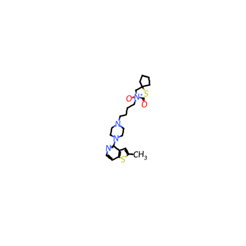 Cc1cc2c(N3CCN(CCCC[N+]4([O-])CC5(CCCC5)SC4=O)CC3)nccc2s1